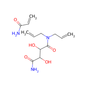 C=CC(N)=O.C=CCN(CC=C)C(=O)C(O)C(O)C(N)=O